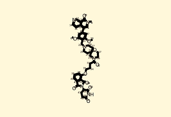 COc1cc(-c2cn(C)c(=O)c3cnccc23)cc(OC)c1CN1CCC2(CC1)CN(C(=O)CCCOc1cccc3c1C(=O)N(C1CCC(=O)NC1=O)C3=O)CCO2